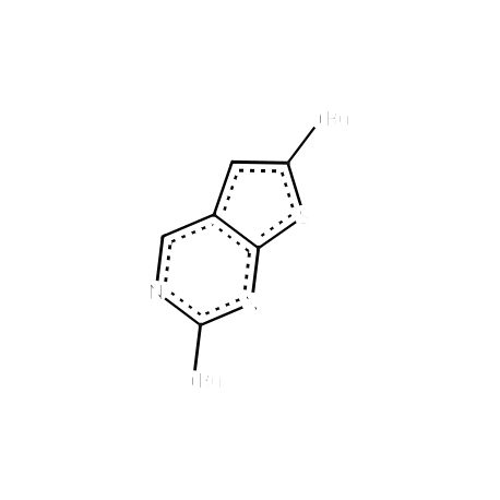 CC(C)(C)c1ncc2cc(C(C)(C)C)sc2n1